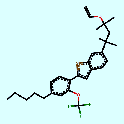 C=COC(C)(C)CC(C)(C)c1ccc2cc(-c3ccc(CCCCC)cc3OC(F)(F)F)sc2c1